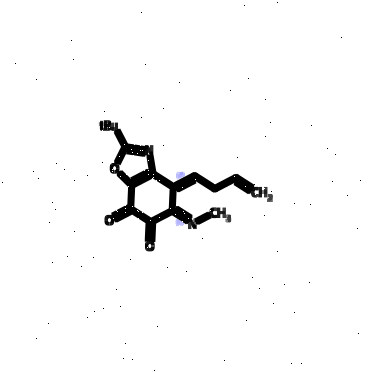 C=CC/C=C1\C(=N/C)C(=O)C(=O)c2oc(C(C)(C)C)nc21